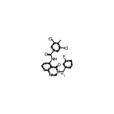 Cc1c(Cl)cc(C(=O)Nc2cccc3ncn([C@@H](C)c4cccc(F)c4)c(=O)c23)cc1Cl